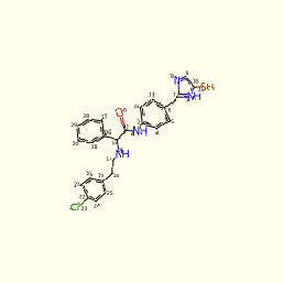 O=C(Nc1ccc(-c2ncc(S)[nH]2)cc1)C(NCCc1ccc(Cl)cc1)c1ccccc1